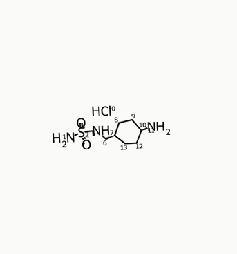 Cl.NS(=O)(=O)NC[C@H]1CC[C@@H](N)CC1